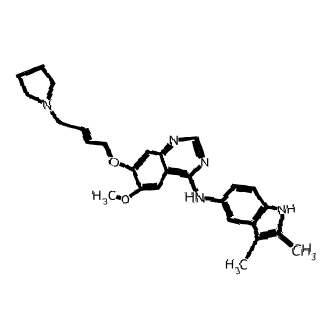 COc1cc2c(Nc3ccc4[nH]c(C)c(C)c4c3)ncnc2cc1OCC=CCN1CCCC1